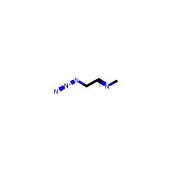 C/N=C/CN=[N+]=[N-]